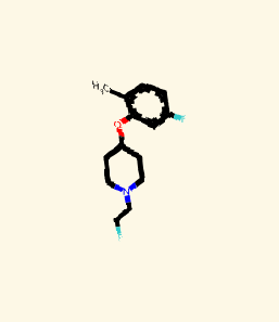 Cc1ccc(F)cc1OC1CCN(CCF)CC1